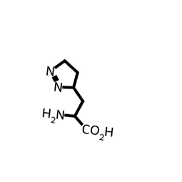 NC(CC1CCN=N1)C(=O)O